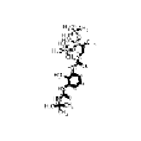 Cc1c(NC(=O)NCC(C)[Si](C)(O[Si](C)(C)C)O[Si](C)(C)C)cccc1NC(=O)NC(C)(C)C